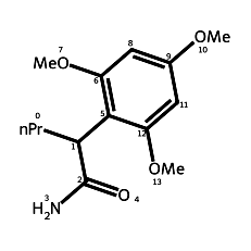 CCCC(C(N)=O)c1c(OC)cc(OC)cc1OC